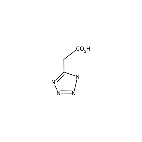 O=C(O)CC1=NN=N[N]1